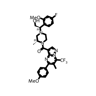 COc1ccc(-c2nc3c(C(=O)N4CCN([C@@H](CO)c5ccc(F)cc5OC)C[C@H]4C)cnn3c(C(F)(F)F)c2C)cc1